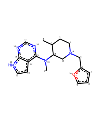 CC1CCN(Cc2ccco2)CC1N(C)c1ncnc2[nH]ccc12